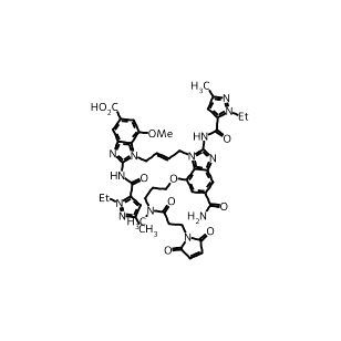 CCn1nc(C)cc1C(=O)Nc1nc2cc(C(=O)O)cc(OC)c2n1CC=CCn1c(NC(=O)c2cc(C)nn2CC)nc2cc(C(N)=O)cc(OCCCN(C)C(=O)CCN3C(=O)C=CC3=O)c21